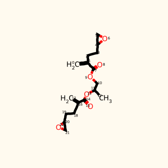 C=C(CCC1CO1)C(=O)OCC(C)OC(=O)C(=C)CCC1CO1